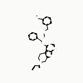 C=CC(=O)N1CCc2c(sc3ncnc(N[C@H](COCc4cccc(N=O)c4)c4ccccc4)c23)C1